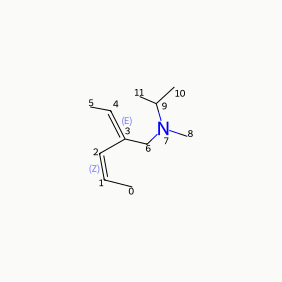 C/C=C\C(=C/C)CN(C)C(C)C